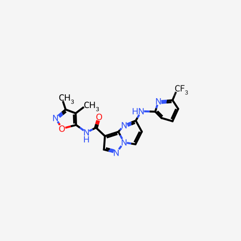 Cc1noc(NC(=O)c2cnn3ccc(Nc4cccc(C(F)(F)F)n4)nc23)c1C